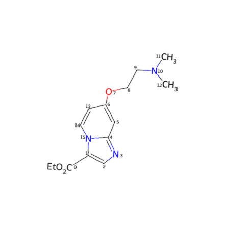 CCOC(=O)c1cnc2cc(OCCN(C)C)ccn12